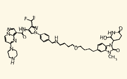 Cn1c(=O)n(C2CCC(=O)NC2O)c2ccc(CCCCOCCCCNCc3ccc(-n4cc(NC(=O)c5cnn6ccc(N7CCNCC7)nc56)c(C(F)F)n4)cc3)cc21